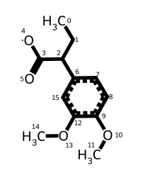 CCC(C([O])=O)c1ccc(OC)c(OC)c1